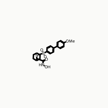 COc1ccc(-c2ccc(S(=O)(=O)N3C4CCC(CC4)C3C(=O)NO)cc2)cc1